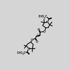 C=C(C(=O)OCC)N1C(C)(C)CC(OC(=O)/C=C/C(=O)OC2CC(C)(C)N(C(=C)C(=O)OCC)C(C)(C)C2)CC1(C)C